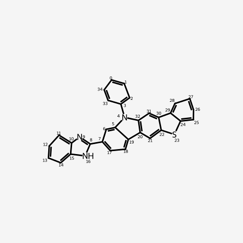 c1ccc(-n2c3cc(-c4nc5ccccc5[nH]4)ccc3c3cc4sc5ccccc5c4cc32)cc1